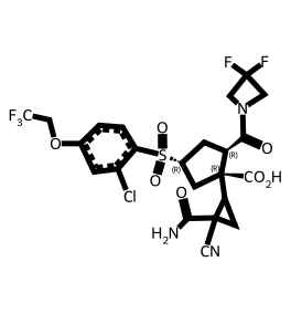 N#CC1(C(N)=O)CC1[C@]1(C(=O)O)C[C@H](S(=O)(=O)c2ccc(OCC(F)(F)F)cc2Cl)C[C@H]1C(=O)N1CC(F)(F)C1